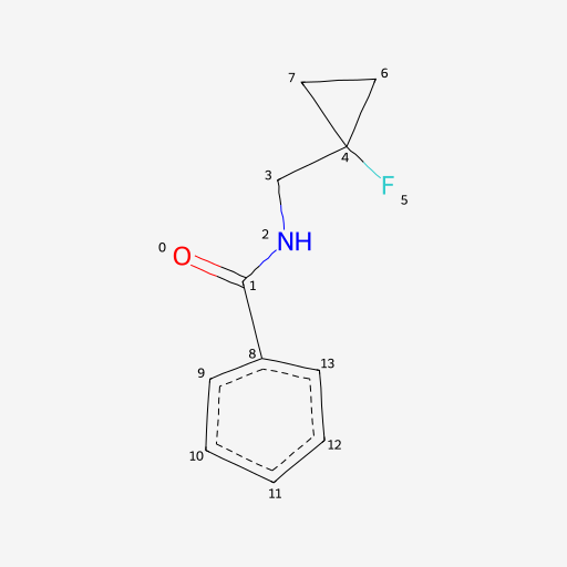 O=C(NCC1(F)CC1)c1ccccc1